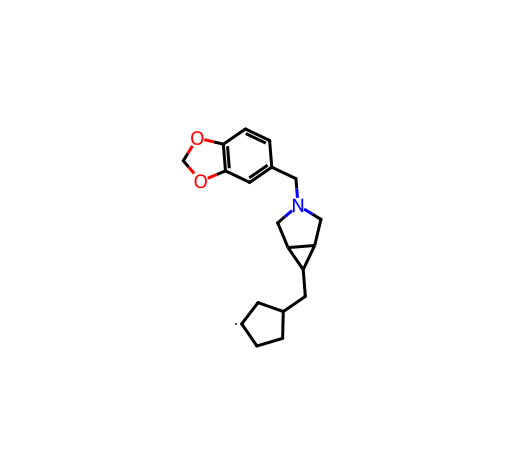 [CH]1CCC(CC2C3CN(Cc4ccc5c(c4)OCO5)CC23)C1